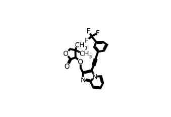 CC1(C)COC(=O)C1OCc1nc2ccccn2c1C#Cc1cccc(C(F)(F)F)c1